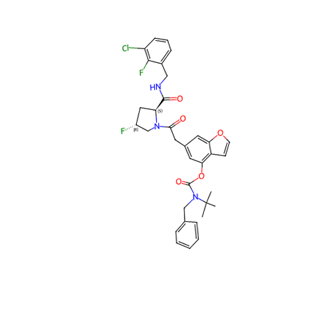 CC(C)(C)N(Cc1ccccc1)C(=O)Oc1cc(CC(=O)N2C[C@H](F)C[C@H]2C(=O)NCc2cccc(Cl)c2F)cc2occc12